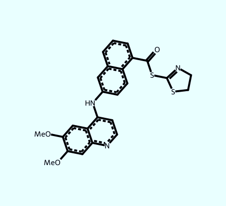 COc1cc2nccc(Nc3ccc4c(C(=O)SC5=NCCS5)cccc4c3)c2cc1OC